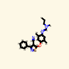 CCCN(C)C=Nc1cc(C)c(Oc2snc(-c3ccccc3)c2C#N)cc1C